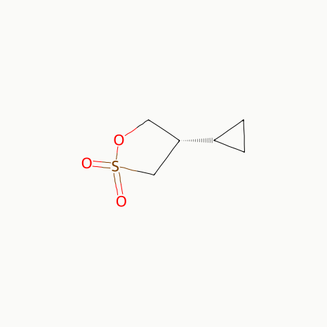 O=S1(=O)C[C@@H](C2CC2)CO1